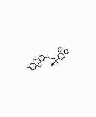 C#CC(C)(CCCc1ccc(F)c(Oc2ccc(C)cc2)c1)c1ccc(OC)c(Cl)c1